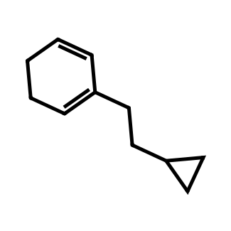 C1=CC(CCC2CC2)=CCC1